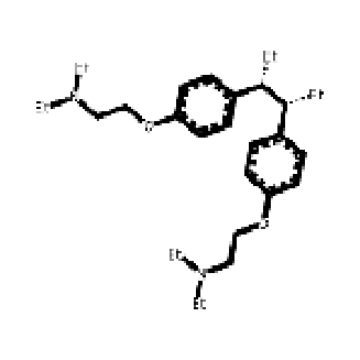 CC[C@H](c1ccc(OCCN(CC)CC)cc1)[C@@H](CC)c1ccc(OCCN(CC)CC)cc1